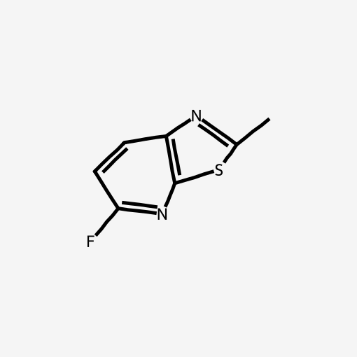 Cc1nc2ccc(F)nc2s1